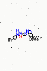 COc1cc2ncnc(N3CCC(N(C)C(=O)Nc4ccc(C(C)C)cc4)C3)c2cc1OC